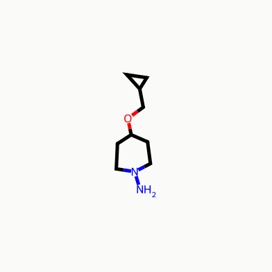 NN1CCC(OCC2CC2)CC1